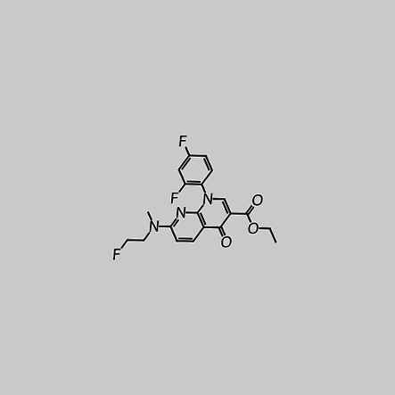 CCOC(=O)c1cn(-c2ccc(F)cc2F)c2nc(N(C)CCF)ccc2c1=O